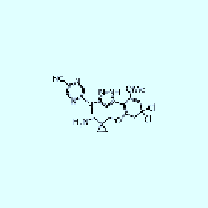 COC1=CC(Cl)(Cl)CC(OCC2(CN)CC2)=C1c1cc(Nc2cnc(C#N)cn2)n[nH]1